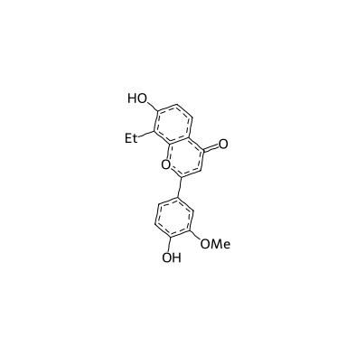 CCc1c(O)ccc2c(=O)cc(-c3ccc(O)c(OC)c3)oc12